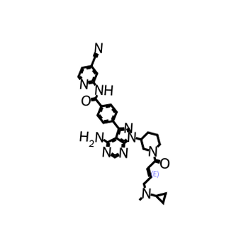 CN(C/C=C/C(=O)N1CCCC(n2nc(-c3ccc(C(=O)Nc4cc(C#N)ccn4)cc3)c3c(N)ncnc32)C1)C1CC1